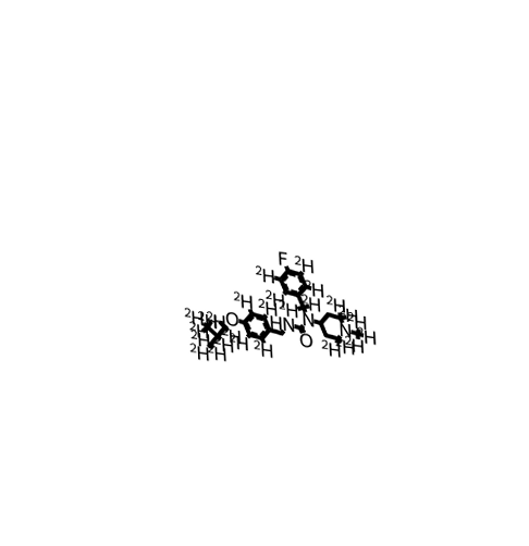 [2H]c1c([2H])c(C([2H])([2H])N(C(=O)NCc2c([2H])c([2H])c(OC([2H])([2H])C([2H])(C([2H])([2H])[2H])C([2H])([2H])[2H])c([2H])c2[2H])C2CC([2H])([2H])N(C([2H])([2H])[2H])C([2H])([2H])C2)c([2H])c([2H])c1F